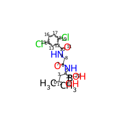 CC(C)CC(NC(=O)CNC(=O)c1cc(Cl)ccc1Cl)B(O)O